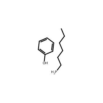 CCCCCCP.Oc1ccccc1